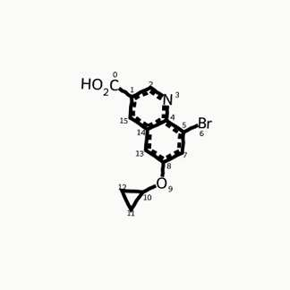 O=C(O)c1cnc2c(Br)cc(OC3CC3)cc2c1